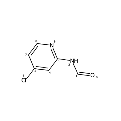 O=CNc1cc(Cl)ccn1